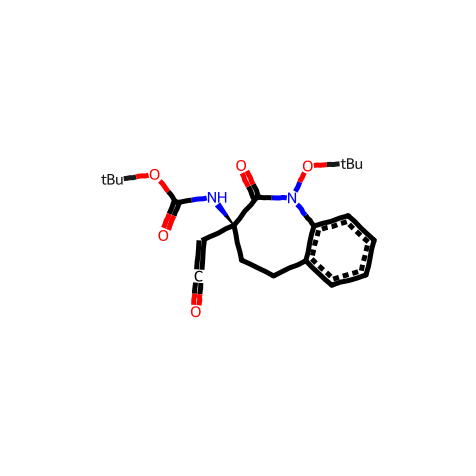 CC(C)(C)OC(=O)N[C@]1(C=C=O)CCc2ccccc2N(OC(C)(C)C)C1=O